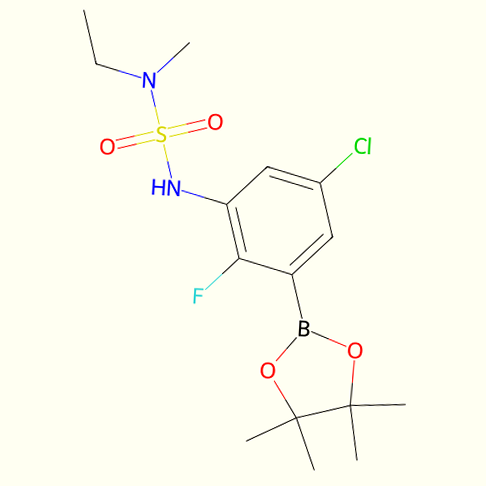 CCN(C)S(=O)(=O)Nc1cc(Cl)cc(B2OC(C)(C)C(C)(C)O2)c1F